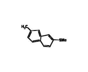 CSc1ccc2ccc(C)cc2c1